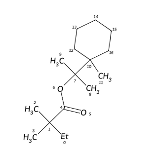 CCC(C)(C)C(=O)OC(C)(C)C1(C)CCCCC1